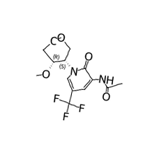 CO[C@@H]1CCOC[C@@H]1n1cc(C(F)(F)F)cc(NC(C)=O)c1=O